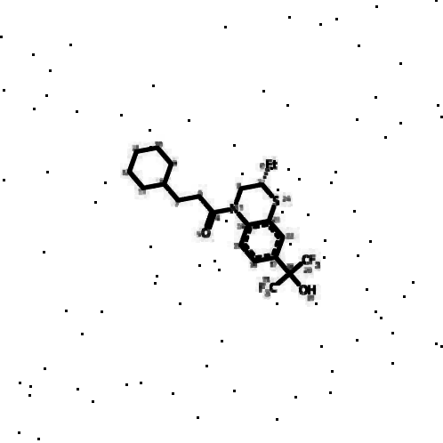 CC[C@H]1CN(C(=O)CCC2CCCCC2)c2ccc(C(O)(C(F)(F)F)C(F)(F)F)cc2S1